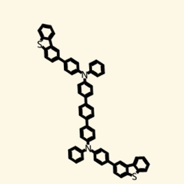 c1ccc(N(c2ccc(-c3ccc(-c4ccc(N(c5ccccc5)c5ccc(-c6ccc7sc8ccccc8c7c6)cc5)cc4)cc3)cc2)c2ccc(-c3ccc4sc5ccccc5c4c3)cc2)cc1